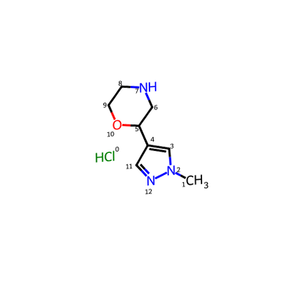 Cl.Cn1cc(C2CNCCO2)cn1